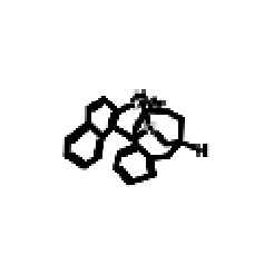 COc1ccc2ccccc2c1CN1C[C@@H]2CC[C@H]1Cc1ccccc1C2